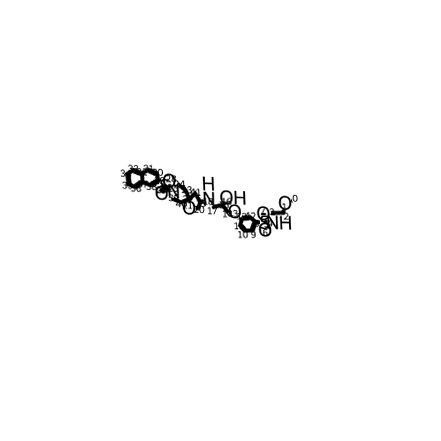 COCCNS(=O)(=O)c1cccc(OC[C@@H](O)CNC2COC3(CCN(S(=O)(=O)c4ccc5ccccc5c4)CC3)C2)c1